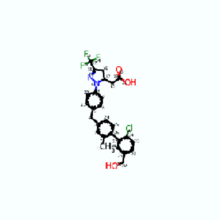 Cc1cc(Cc2ccc(N3N=C(C(F)(F)F)CC3CC(=O)O)cc2)ccc1-c1cc(CO)ccc1Cl